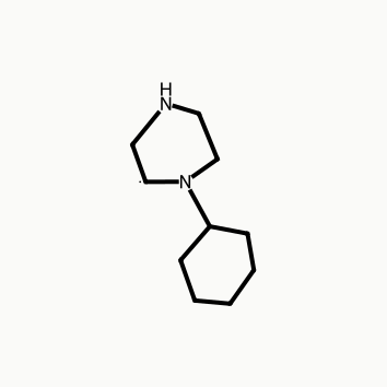 [CH]1CNCCN1C1CCCCC1